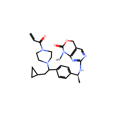 C=CC(=O)N1CCN(C(CC2CC2)c2ccc([C@H](C)Nc3ncc4c(n3)N(CCC)C(=O)OC4)cc2)CC1